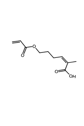 C=CC(=O)OCCCC=C(C)C(=O)O